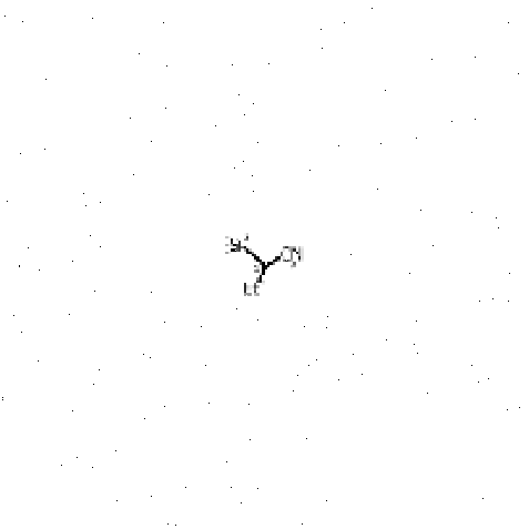 CCC([Si])C#N